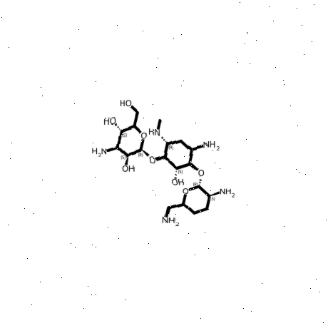 CN[C@@H]1CC(N)C(O[C@H]2OC(CN)CC[C@@H]2N)[C@H](O)C1O[C@@H]1OC(CO)[C@@H](O)C(N)[C@@H]1O